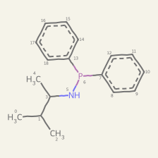 CC(C)C(C)NP(c1ccccc1)c1ccccc1